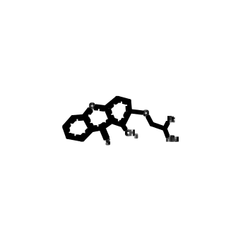 CCCCC(CC)COc1ccc2oc3ccccc3c(=S)c2c1C